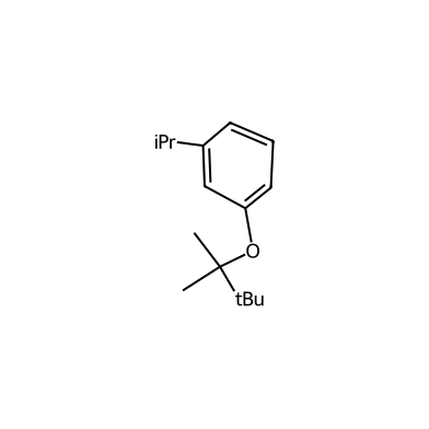 CC(C)c1cccc(OC(C)(C)C(C)(C)C)c1